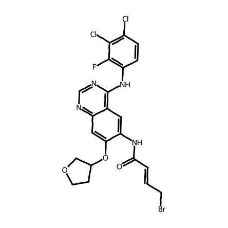 O=C(/C=C/CBr)Nc1cc2c(Nc3ccc(Cl)c(Cl)c3F)ncnc2cc1OC1CCOC1